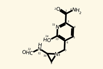 NC(=O)c1ccc(CN2CC2NC=O)c(O)n1